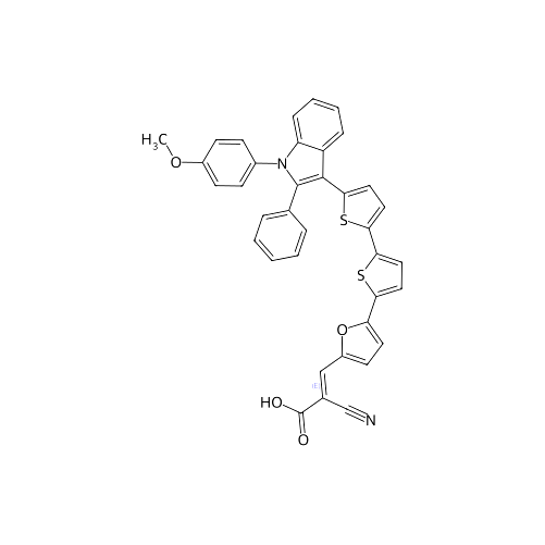 COc1ccc(-n2c(-c3ccccc3)c(-c3ccc(-c4ccc(-c5ccc(/C=C(\C#N)C(=O)O)o5)s4)s3)c3ccccc32)cc1